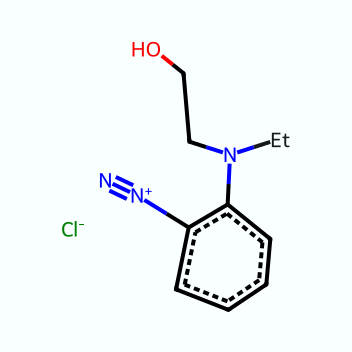 CCN(CCO)c1ccccc1[N+]#N.[Cl-]